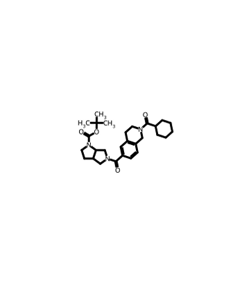 CC(C)(C)OC(=O)N1CCC2CN(C(=O)c3ccc4c(c3)CCN(C(=O)C3CCCCC3)C4)CC21